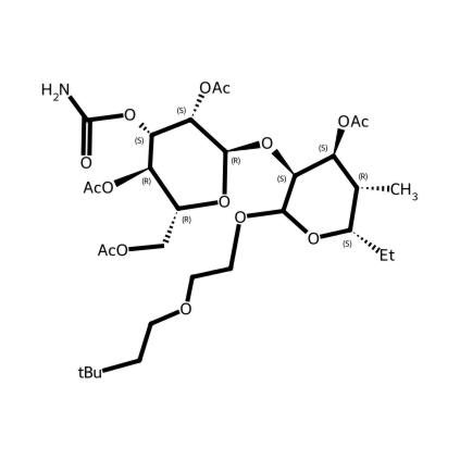 CC[C@@H]1OC(OCCOCCC(C)(C)C)[C@@H](O[C@H]2O[C@H](COC(C)=O)[C@@H](OC(C)=O)[C@H](OC(N)=O)[C@@H]2OC(C)=O)[C@@H](OC(C)=O)[C@@H]1C